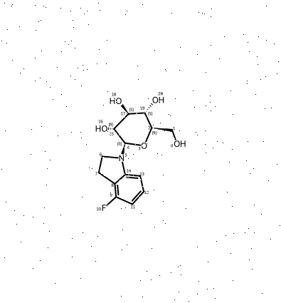 OC[C@H]1O[C@@H](N2CCc3c(F)cccc32)[C@H](O)[C@@H](O)[C@@H]1O